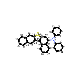 c1ccc(N(c2ccccc2)c2cc3sc4cc5ccccc5cc4c3c3ccccc23)cc1